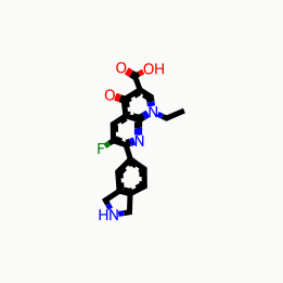 CCn1cc(C(=O)O)c(=O)c2cc(F)c(-c3ccc4c(c3)CNC4)nc21